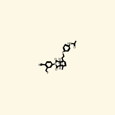 CC(=O)Nc1ccc(SCCC23C=CC(C)(O2)[C@@H]2C(=O)N(c4ccc(C#N)c(CF)c4)C(=O)[C@@H]23)cc1